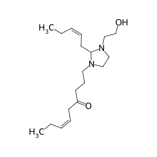 CC/C=C\CC(=O)CCCN1CCN(CCO)C1C/C=C\CC